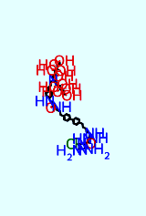 N=C(NCCCCc1ccc(-c2ccc(CCCNC(=O)CNc3ccc(CCCN(C[C@H](O)[C@@H](O)[C@H](O)[C@H](O)CO)C[C@H](O)[C@@H](O)[C@H](O)[C@H](O)CO)cc3)cc2)cc1)NC(=O)c1nc(Cl)c(N)nc1N